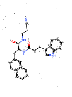 N#CCCNC(=O)C(Cc1ccc2ccccc2c1)NC(=O)CCc1c[nH]c2ccccc12